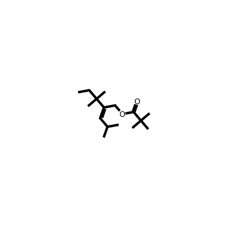 CCC(C)(C)C(=CC(C)C)COC(=O)C(C)(C)C